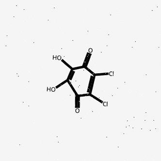 O=C1C(O)=C(O)C(=O)C(Cl)=C1Cl